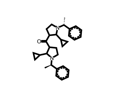 C[C@H](c1ccccc1)N1CCC(C(=O)C2CCN([C@H](C)c3ccccc3)C2C2CC2)C1C1CC1